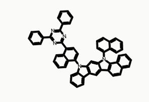 c1ccc(-c2nc(-c3ccccc3)nc(-c3ccc(-n4c5ccccc5c5cc6c7ccc8ccccc8c7n(-c7cccc8ccccc78)c6cc54)c4ccccc34)n2)cc1